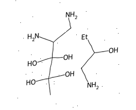 CC(O)(O)C(O)(O)C(N)CN.CCC(O)CN